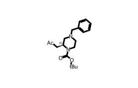 CC(=O)C[C@H]1CN(Cc2ccccc2)CCN1C(=O)OC(C)(C)C